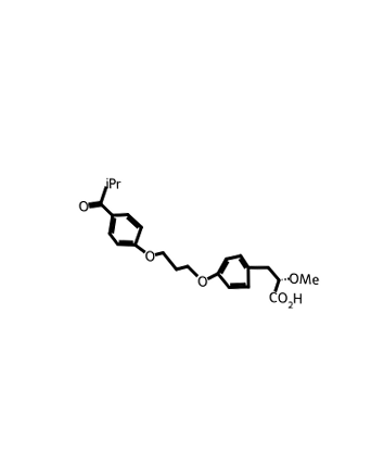 CO[C@@H](Cc1ccc(OCCCOc2ccc(C(=O)C(C)C)cc2)cc1)C(=O)O